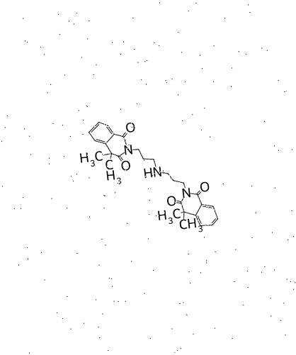 CC1(C)C(=O)N(CCCNCCCN2C(=O)c3ccccc3C(C)(C)C2=O)C(=O)c2ccccc21